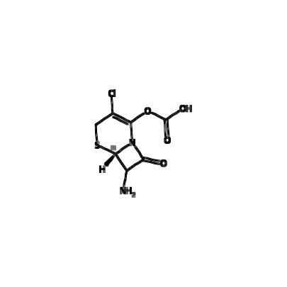 NC1C(=O)N2C(OC(=O)O)=C(Cl)CS[C@@H]12